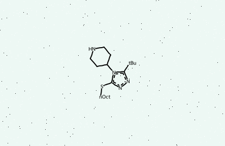 CCCCCCCCSc1nnc(C(C)(C)C)n1C1CCNCC1